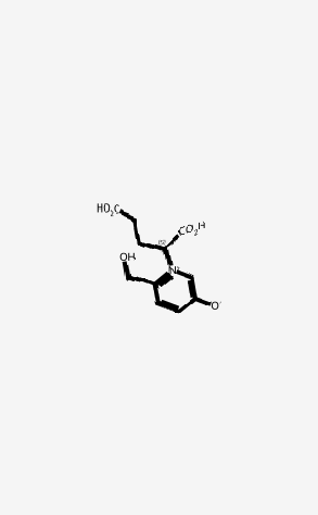 O=C(O)CC[C@@H](C(=O)O)[n+]1cc([O-])ccc1CO